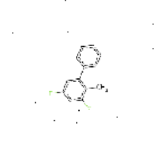 Cc1c(F)cc(F)cc1-c1ccccc1